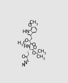 COc1cccc2c(C[C@H](OC)C(=O)N[C@@H](CCC(=O)C=[N+]=[N-])C(=O)OC(C)C)c[nH]c12